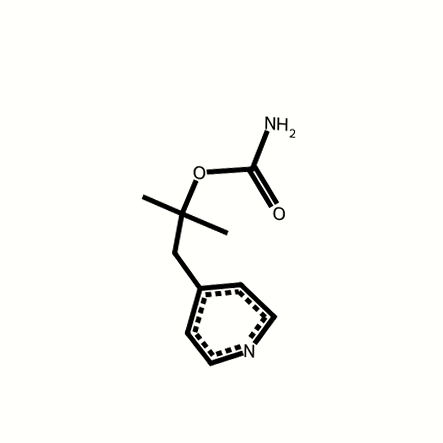 CC(C)(Cc1ccncc1)OC(N)=O